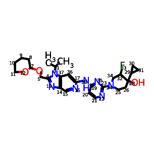 CC(C)n1c(COC2CCCCO2)nc2cnc(Nc3ccnc(N4CCC(O)(C5CC5)C(F)C4)n3)cc21